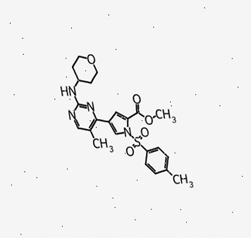 COC(=O)c1cc(-c2nc(NC3CCOCC3)ncc2C)cn1S(=O)(=O)c1ccc(C)cc1